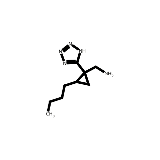 CCCCC1CC1(CN)c1nnn[nH]1